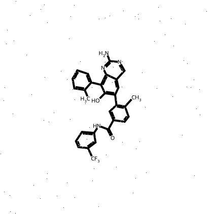 Cc1ccc(C(=O)Nc2cccc(C(F)(F)F)c2)cc1-c1cc2cnc(N)nc2c(-c2ccccc2C)c1O